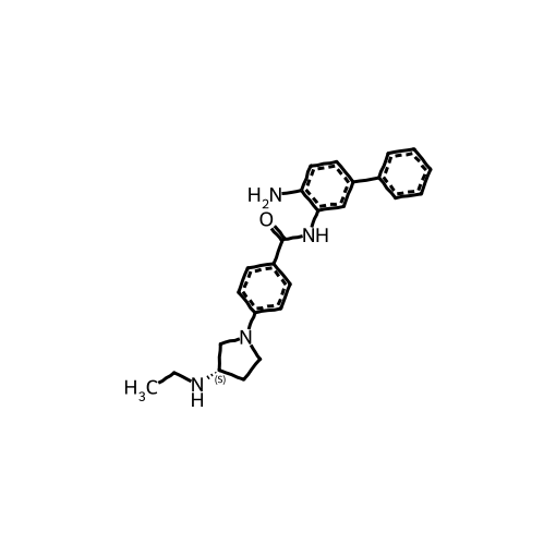 CCN[C@H]1CCN(c2ccc(C(=O)Nc3cc(-c4ccccc4)ccc3N)cc2)C1